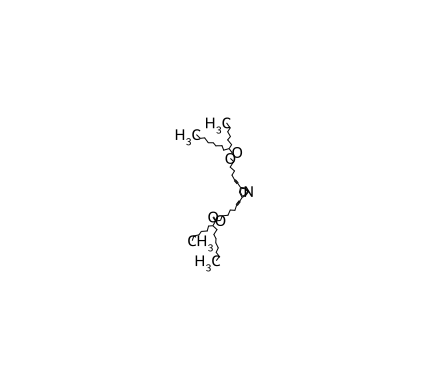 CCCCCCCCC(CCCCCC)C(=O)OCCCCC#Cc1cncc(C#CCCCCOC(=O)C(CCCCCC)CCCCCCCC)c1